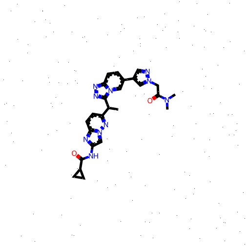 CC(c1ccc2nc(NC(=O)C3CC3)cn2n1)c1nnc2ccc(-c3cnn(CC(=O)N(C)C)c3)cn12